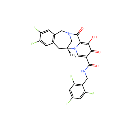 C[C@@]12Cc3cc(F)c(F)cc3CN(C1)C(=O)c1c(O)c(=O)c(C(=O)NCc3c(F)cc(F)cc3F)cn12